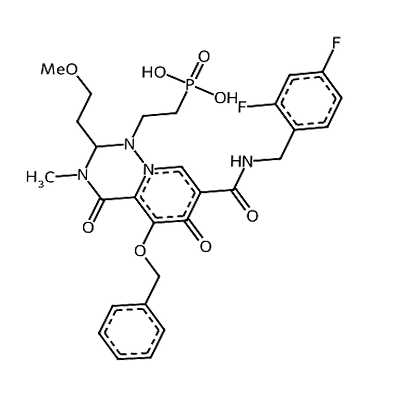 COCCC1N(C)C(=O)c2c(OCc3ccccc3)c(=O)c(C(=O)NCc3ccc(F)cc3F)cn2N1CCP(=O)(O)O